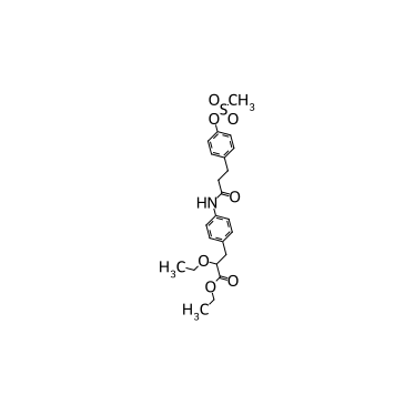 CCOC(=O)C(Cc1ccc(NC(=O)CCc2ccc(OS(C)(=O)=O)cc2)cc1)OCC